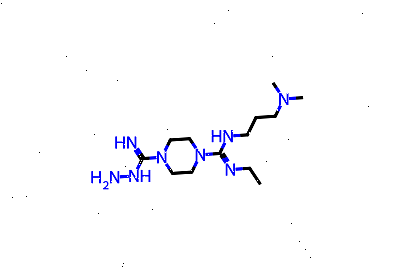 CC/N=C(\NCCCN(C)C)N1CCN(C(=N)NN)CC1